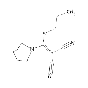 CCCSC(=C(C#N)C#N)N1CCCC1